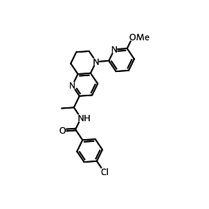 COc1cccc(N2CCCc3nc(C(C)NC(=O)c4ccc(Cl)cc4)ccc32)n1